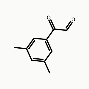 Cc1cc(C)cc(C(=O)C=O)c1